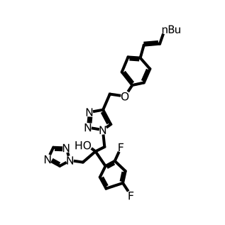 CCCCC=Cc1ccc(OCc2cn(CC(O)(Cn3cncn3)c3ccc(F)cc3F)nn2)cc1